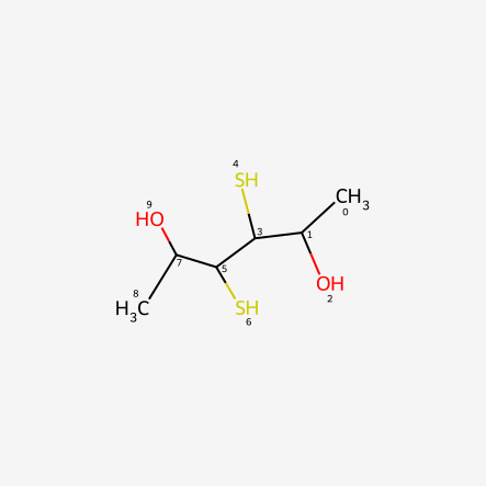 CC(O)C(S)C(S)C(C)O